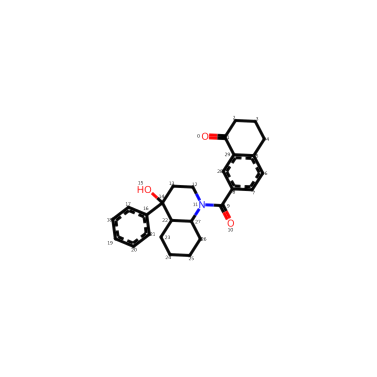 O=C1CCCc2ccc(C(=O)N3CCC(O)(c4ccccc4)C4CCCCC43)cc21